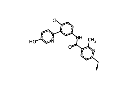 Cc1nc(CF)ccc1C(=O)Nc1ccc(Cl)c(-c2ccc(O)cn2)c1